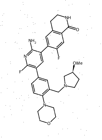 CO[C@H]1CCN(Cc2cc(-c3cc(-c4cc5c(cc4F)C(=O)NCC5)c(N)nc3F)ccc2N2CCOCC2)C1